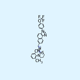 Cc1cccc(C)c1N1CCCS/C1=N\N=C\c1ccc2c(ccc3c2ncn3-c2ccc(OC(F)(F)F)cc2)c1